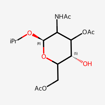 CC(=O)NC1C(OC(C)=O)[C@H](O)C(COC(C)=O)O[C@H]1OC(C)C